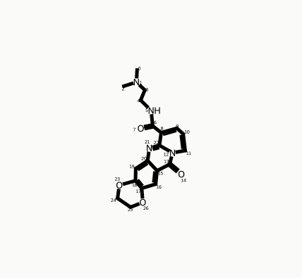 CN(C)CCNC(=O)c1cccn2c(=O)c3cc4c(cc3nc12)OCCO4